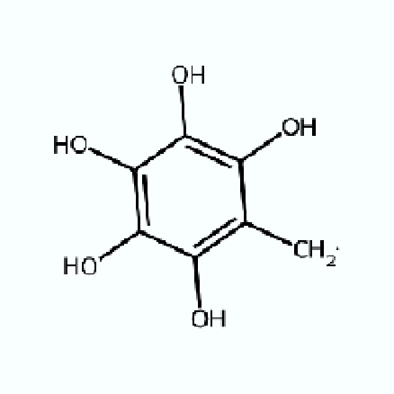 [CH2]c1c(O)c(O)c(O)c(O)c1O